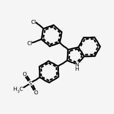 CS(=O)(=O)c1ccc(-c2[nH]c3ccccc3c2-c2ccc(Cl)c(Cl)c2)cc1